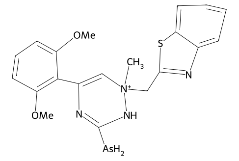 COc1cccc(OC)c1C1=C[N+](C)(Cc2nc3ccccc3s2)NC([AsH2])=N1